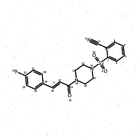 N#Cc1ccccc1S(=O)(=O)N1CCN(C(=O)/C=C/c2ccc(F)cc2)CC1